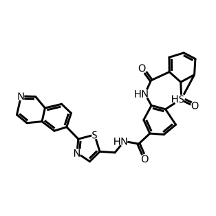 O=C1Nc2cc(C(=O)NCc3cnc(-c4ccc5cnccc5c4)s3)ccc2[SH]2(=O)C3C=CC=C1C32